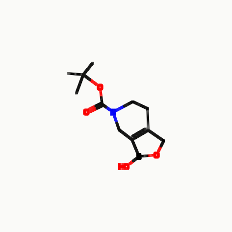 CC(C)(C)OC(=O)N1CCC2=C(C1)B(O)OC2